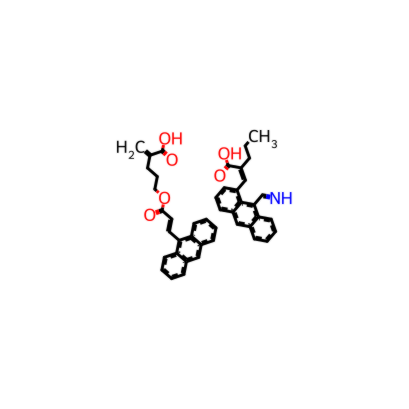 C=C(CCCOC(=O)C=Cc1c2ccccc2cc2ccccc12)C(=O)O.CCCC(=Cc1cccc2cc3ccccc3c(C=N)c12)C(=O)O